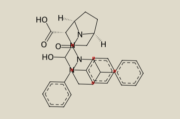 O=C(O)[C@@H]1[C@H]2CC[C@@H](CN1C(O)N(c1ccccc1)c1ccccc1)N2C(=O)N1CCCC(c2ccccc2)C1